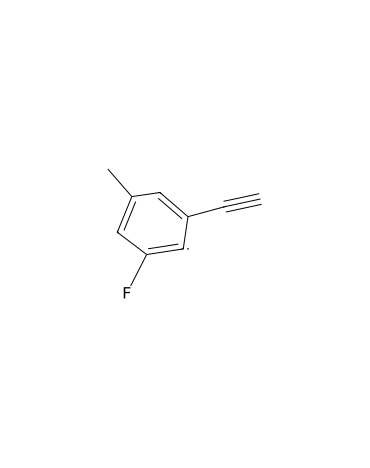 C#Cc1[c]c(F)cc(C)c1